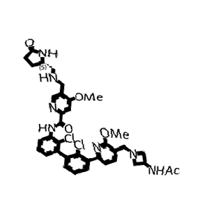 COc1cc(C(=O)Nc2cccc(-c3cccc(-c4ccc(CN5CC(NC(C)=O)C5)c(OC)n4)c3Cl)c2Cl)ncc1CNC[C@@H]1CCC(=O)N1